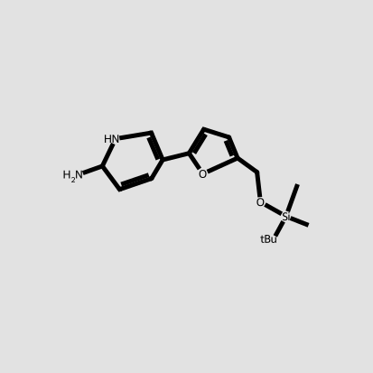 CC(C)(C)[Si](C)(C)OCc1ccc(C2=CNC(N)C=C2)o1